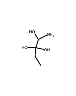 CCC(O)(O)C(N)O